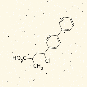 CC(CC(Cl)c1ccc(-c2ccccc2)cc1)C(=O)O